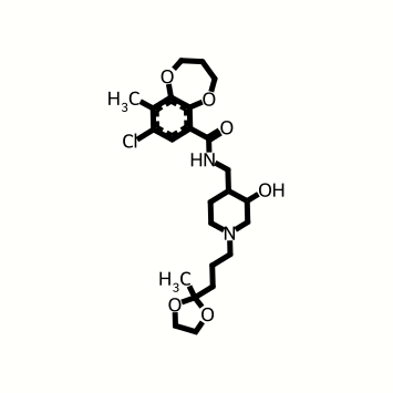 Cc1c(Cl)cc(C(=O)NCC2CCN(CCCC3(C)OCCO3)CC2O)c2c1OCCCO2